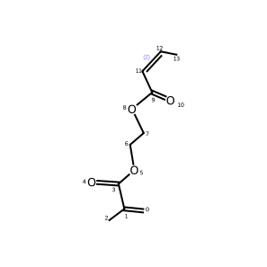 C=C(C)C(=O)OCCOC(=O)/C=C\C